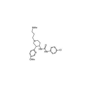 CNCCCN1CCC(NC(=O)Nc2ccc(Cl)cc2)C(c2ccc(OC)cn2)C1